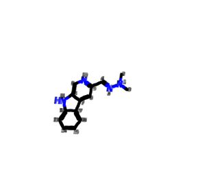 CN(C)N=Cc1cc2c(cn1)[nH]c1ccccc12